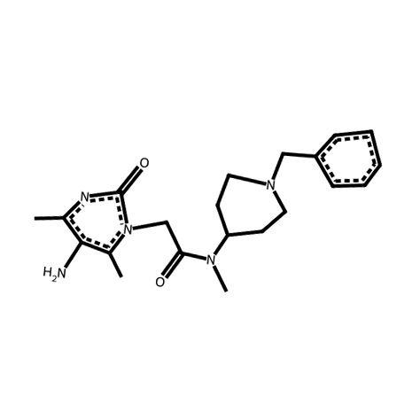 Cc1nc(=O)n(CC(=O)N(C)C2CCN(Cc3ccccc3)CC2)c(C)c1N